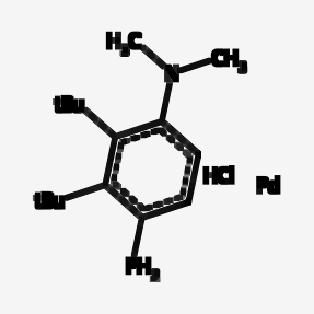 CN(C)c1ccc(P)c(C(C)(C)C)c1C(C)(C)C.Cl.[Pd]